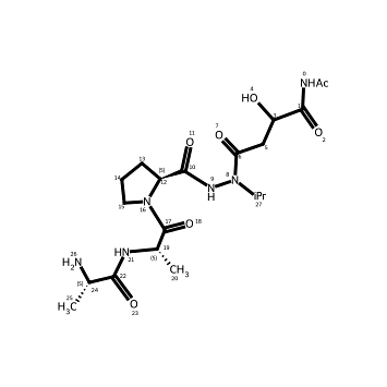 CC(=O)NC(=O)C(O)CC(=O)N(NC(=O)[C@@H]1CCCN1C(=O)[C@H](C)NC(=O)[C@H](C)N)C(C)C